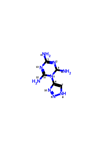 NC1=NC(N)N(c2c[nH]nn2)C(N)=N1